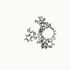 COc1cnc(O[C@@H]2C[C@H]3C(=O)N[C@]4(C(=O)NS(=O)(=O)C5(CF)CC5)C[C@H]4/C=C\CC[C@@H](C)C[C@@H](C)[C@H](N(C(=O)O)C4(C(F)(F)F)CCCOC4)C(=O)N3C2)c2ccccc12